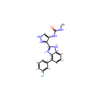 CC(C)NC(=O)Nc1c[nH]nc1-c1nc2c(-c3cccc(F)c3)cccc2[nH]1